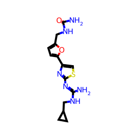 NC(=O)NCc1ccc(-c2csc(/N=C(\N)NCC3CC3)n2)o1